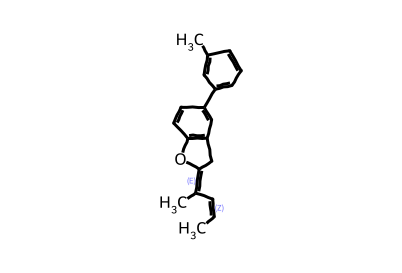 C/C=C\C(C)=C1/Cc2cc(-c3cccc(C)c3)ccc2O1